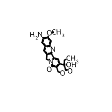 CC[C@@]1(O)C(=O)OCc2c1cc1n(c2=O)Cc2cc3cc(N)c(OC)cc3nc2-1